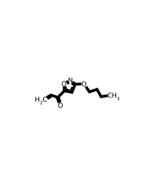 C=CC(=O)c1cc(OCCCC)no1